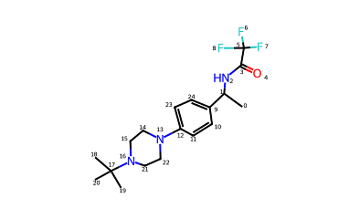 CC(NC(=O)C(F)(F)F)c1ccc(N2CCN(C(C)(C)C)CC2)cc1